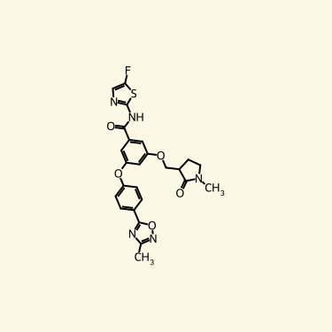 Cc1noc(-c2ccc(Oc3cc(OCC4CCN(C)C4=O)cc(C(=O)Nc4ncc(F)s4)c3)cc2)n1